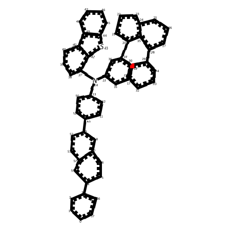 c1ccc(-c2ccc3cc(-c4ccc(N(c5cccc(-c6cccc7cccc(-c8ccccc8)c67)c5)c5cccc6c5sc5ccccc56)cc4)ccc3c2)cc1